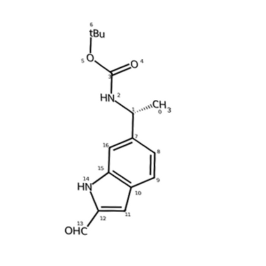 C[C@@H](NC(=O)OC(C)(C)C)c1ccc2cc(C=O)[nH]c2c1